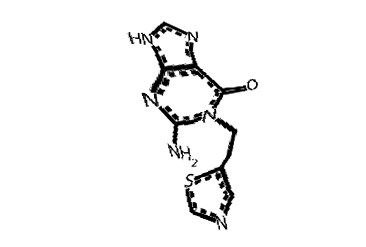 Nc1nc2[nH]cnc2c(=O)n1Cc1cncs1